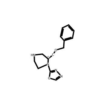 c1ccc(COC[C@@H]2CNCCN2c2nnco2)cc1